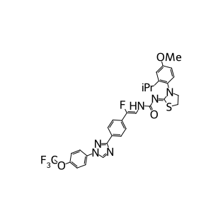 COc1ccc(N2CCS/C2=N\C(=O)N/C=C(\F)c2ccc(-c3ncn(-c4ccc(OC(F)(F)F)cc4)n3)cc2)c(C(C)C)c1